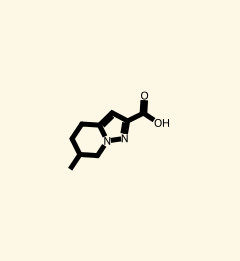 CC1CCc2cc(C(=O)O)nn2C1